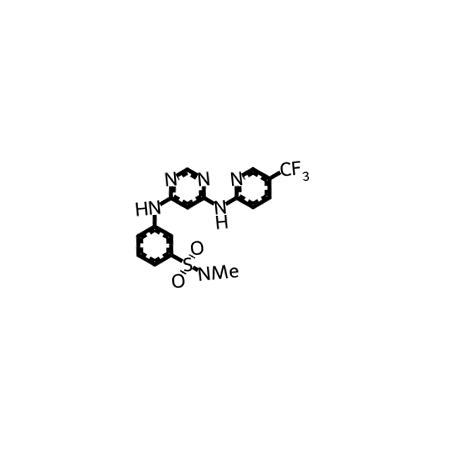 CNS(=O)(=O)c1cccc(Nc2cc(Nc3ccc(C(F)(F)F)cn3)ncn2)c1